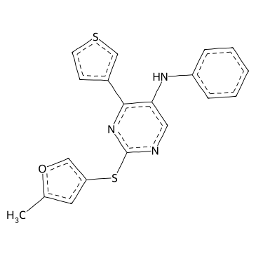 Cc1cc(Sc2ncc(Nc3ccccc3)c(-c3ccsc3)n2)co1